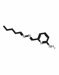 CCCC/C=N/N=C/c1cccc(N)n1